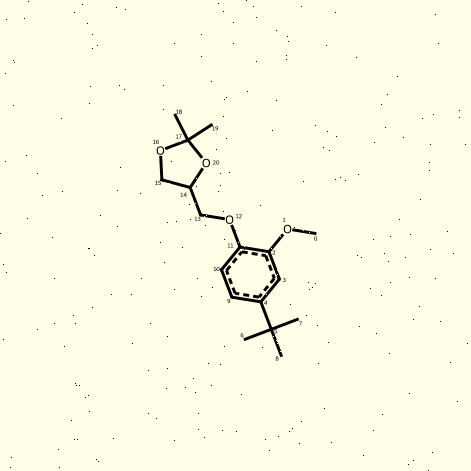 COc1cc(C(C)(C)C)ccc1OCC1COC(C)(C)O1